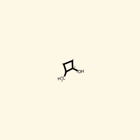 [CH2]C1CCC1O